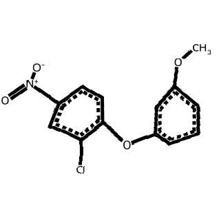 COc1cccc(Oc2ccc([N+](=O)[O-])cc2Cl)c1